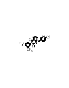 O=c1nc2n(Cc3ccc(Cl)nc3)cccc-2c(=O)n1-c1cc(C(F)(F)F)cc(C(F)(F)F)c1